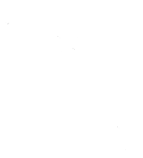 Cc1cc(N2C(=O)C(C)(C)N(CCCOc3ccc(C(C)NC4CC4)cc3)C2=S)ccc1C#N